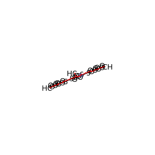 C#CCOC(COC(=O)C=CSCCCCCCSC=CC(=O)OCCCOC(=O)CC(=O)OCCCOC(=O)C#C)COC(=O)/C=C/SCCCCCCSC=CC(=O)OCCCOC(=O)CC(=O)OCCCOC(=O)C#C